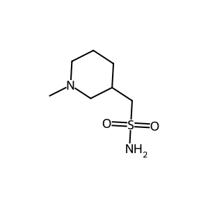 CN1CCCC(CS(N)(=O)=O)C1